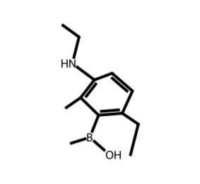 CCNc1ccc(CC)c(B(C)O)c1C